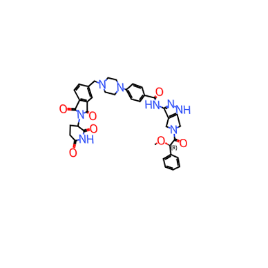 CO[C@@H](C(=O)N1Cc2[nH]nc(NC(=O)c3ccc(N4CCN(Cc5ccc6c(c5)C(=O)N(C5CCC(=O)NC5=O)C6=O)CC4)cc3)c2C1)c1ccccc1